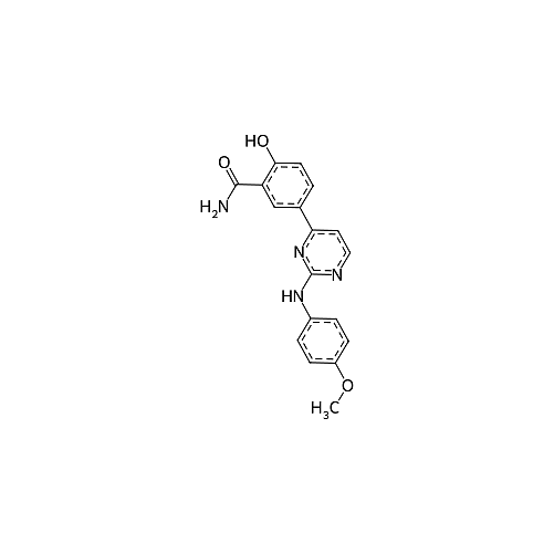 COc1ccc(Nc2nccc(-c3ccc(O)c(C(N)=O)c3)n2)cc1